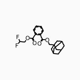 O=C(OCC(F)F)c1ccccc1C(=O)OCC12CC3CC(CC(C3)C1)C2